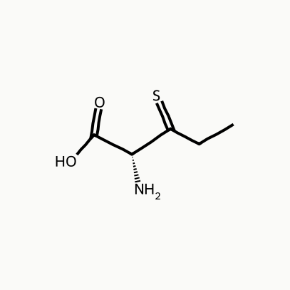 CCC(=S)[C@H](N)C(=O)O